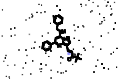 CC(C)(C)[S+]([O-])/C=C/c1cnn2c(NCc3cccnc3)cc(-c3ccccc3)nc12